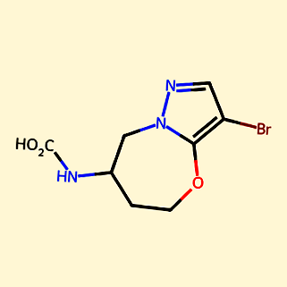 O=C(O)NC1CCOc2c(Br)cnn2C1